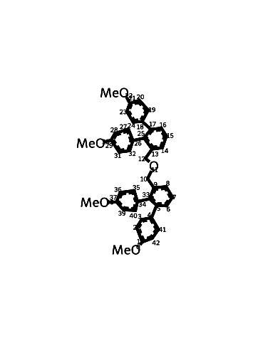 COc1ccc(-c2cccc(COCc3cccc(-c4ccc(OC)cc4)c3-c3ccc(OC)cc3)c2-c2ccc(OC)cc2)cc1